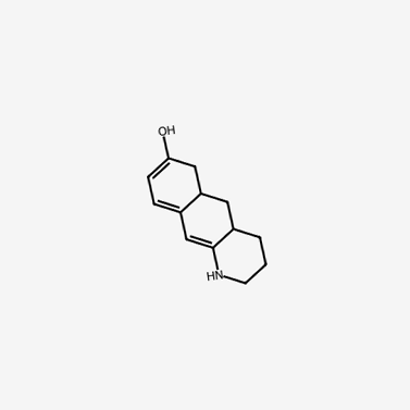 OC1=CC=C2C=C3NCCCC3CC2C1